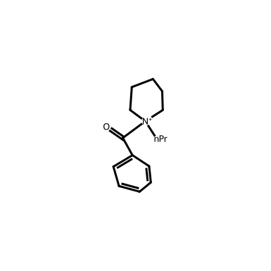 CCC[N+]1(C(=O)c2ccccc2)CCCCC1